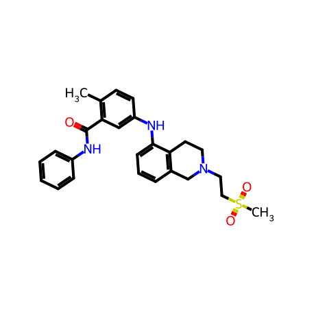 Cc1ccc(Nc2cccc3c2CCN(CCS(C)(=O)=O)C3)cc1C(=O)Nc1ccccc1